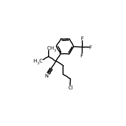 CC(C)C(C#N)(CCCCl)c1cccc(C(F)(F)F)c1